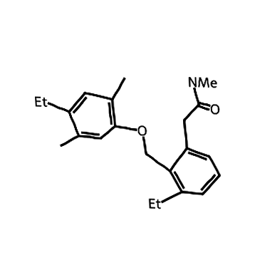 CCc1cc(C)c(OCc2c(CC)cccc2CC(=O)NC)cc1C